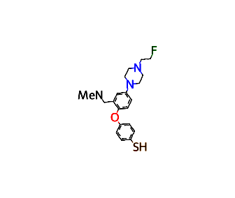 CNCc1cc(N2CCN(CCF)CC2)ccc1Oc1ccc(S)cc1